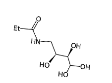 CCC(=O)NC[C@H](O)[C@@H](O)C(O)O